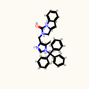 Cc1c(CN2Cc3cc4ccccc4n3C2=O)ncn1C(c1ccccc1)(c1ccccc1)c1ccccc1